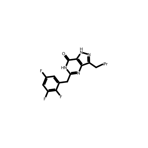 CC(C)Cc1n[nH]c2c(=O)[nH]c(Cc3cc(F)cc(F)c3F)nc12